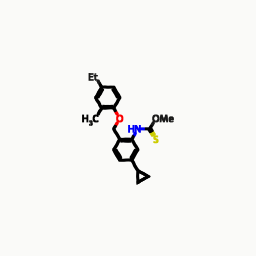 CCc1ccc(OCc2ccc(C3CC3)cc2NC(=S)OC)c(C)c1